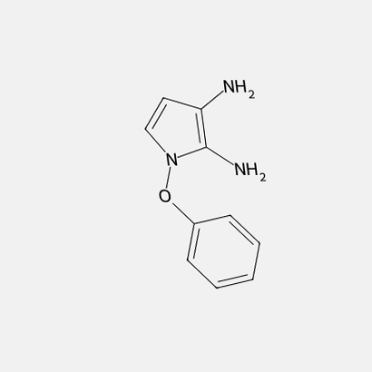 Nc1ccn(Oc2ccccc2)c1N